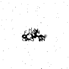 Cn1nc(F)cc1-c1cc2c(n3cnnc13)NCc1c(F)ccc3c1[C@H](CO3)CO2